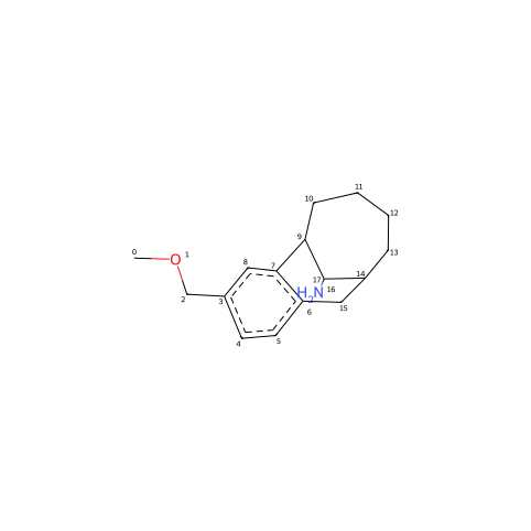 COCc1ccc2c(c1)C1CCCCC(C2)C1N